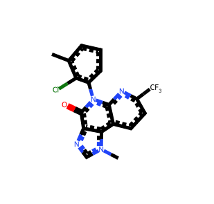 Cc1cccc(-n2c(=O)c3ncn(C)c3c3ccc(C(F)(F)F)nc32)c1Cl